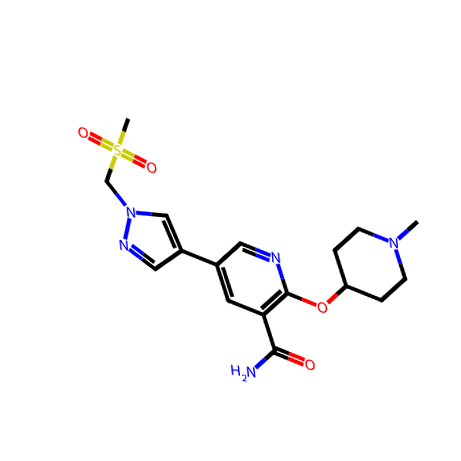 CN1CCC(Oc2ncc(-c3cnn(CS(C)(=O)=O)c3)cc2C(N)=O)CC1